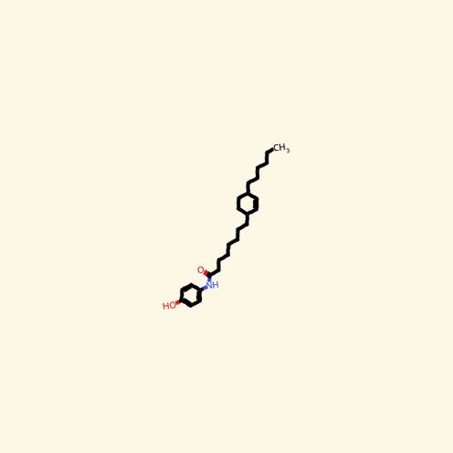 CCCCCCC1C=CC(CCCCCCCC(=O)Nc2ccc(O)cc2)CC1